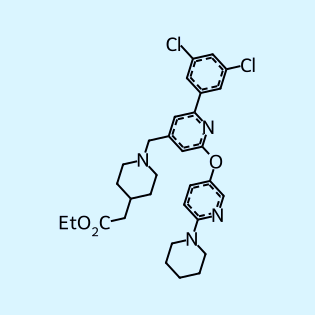 CCOC(=O)CC1CCN(Cc2cc(Oc3ccc(N4CCCCC4)nc3)nc(-c3cc(Cl)cc(Cl)c3)c2)CC1